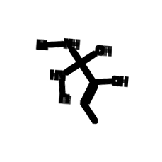 CC=C(O)C(O)(NCC)NCC